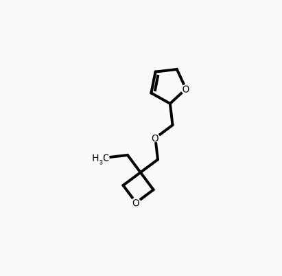 CCC1(COCC2C=CCO2)COC1